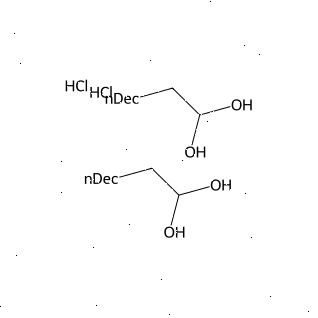 CCCCCCCCCCCC(O)O.CCCCCCCCCCCC(O)O.Cl.Cl